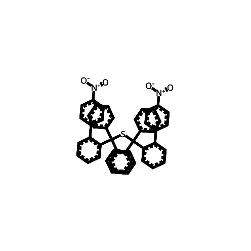 O=[N+]([O-])c1ccc(-c2ccccc2C(SC(c2ccccc2)(c2ccccc2)c2ccccc2-c2ccc([N+](=O)[O-])cc2)(c2ccccc2)c2ccccc2)cc1